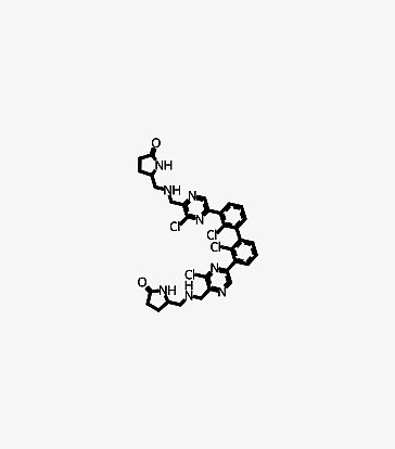 O=C1CCC(CNCc2ncc(-c3cccc(-c4cccc(-c5cnc(CNCC6CCC(=O)N6)c(Cl)n5)c4Cl)c3Cl)nc2Cl)N1